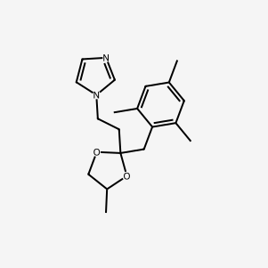 Cc1cc(C)c(CC2(CCn3ccnc3)OCC(C)O2)c(C)c1